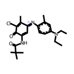 CCN(CC)c1ccc(/N=C2\C=C(NC(=O)C(C)(C)C)C(=O)C(Cl)=C2C)c(C)c1